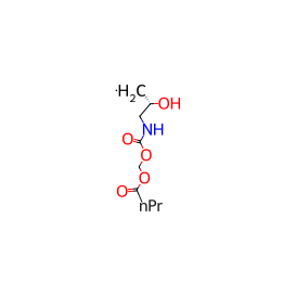 [CH2][C@H](O)CNC(=O)OCOC(=O)CCC